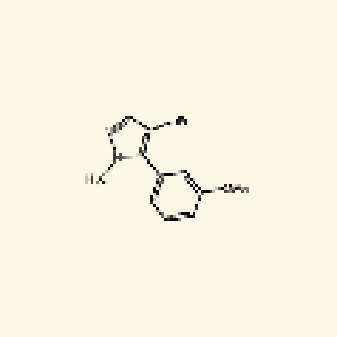 CCCc1cnn(C)c1-c1cccc(OC)c1